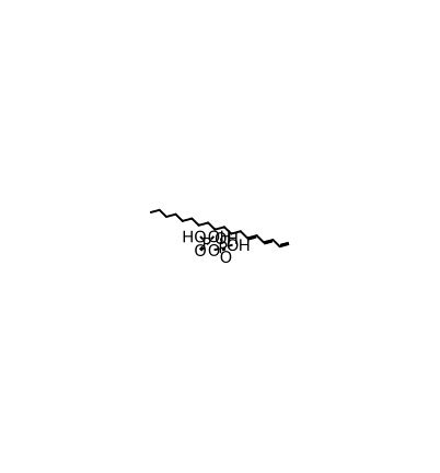 C=CC=CC=CCCCCCCCCCCCC.O=P(O)(O)OP(=O)(O)O